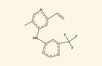 C=Cc1cc(Nc2cccc(C(F)(F)F)c2)c(C)cn1